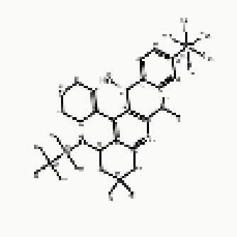 CC(C)c1nc2c(c(C3=CCOCC3)c1[C@H](O)c1ccc(S(F)(F)(F)(F)F)cc1)C(O[Si](C)(C)C(C)(C)C)CC(C)(C)C2